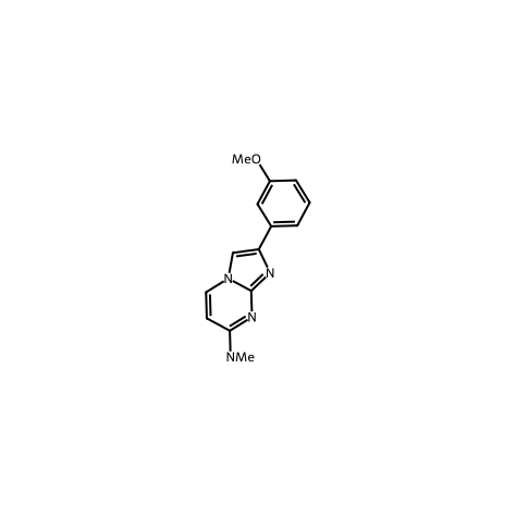 CNc1ccn2cc(-c3cccc(OC)c3)nc2n1